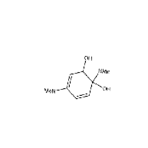 CNC1=CC(O)C(O)(NC)C=C1